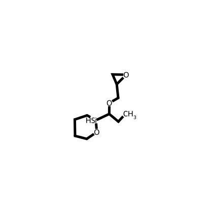 CCC(OCC1CO1)[SiH]1CCCCO1